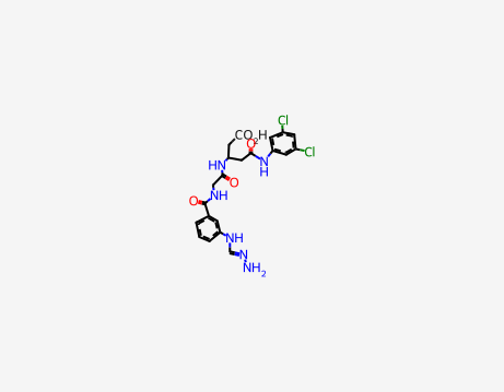 NN=CNc1cccc(C(=O)NCC(=O)NC(CC(=O)O)CC(=O)Nc2cc(Cl)cc(Cl)c2)c1